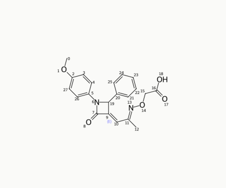 COc1ccc(N2C(=O)/C(=C/C(C)=NOCC(=O)O)C2c2ccccc2)cc1